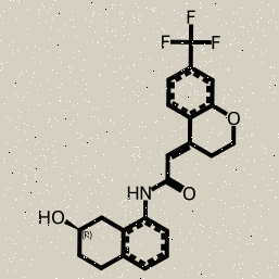 O=C(C=C1CCOc2cc(C(F)(F)F)ccc21)Nc1cccc2c1C[C@H](O)CC2